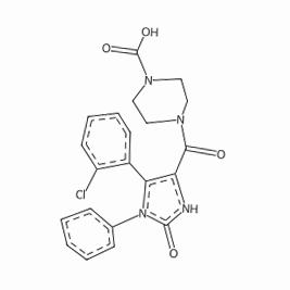 O=C(O)N1CCN(C(=O)c2[nH]c(=O)n(-c3ccccc3)c2-c2ccccc2Cl)CC1